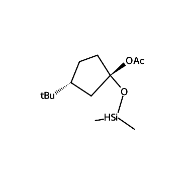 CC(=O)O[C@]1(O[SiH](C)C)CC[C@@H](C(C)(C)C)C1